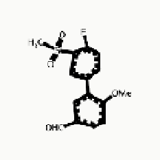 COc1ccc(C=O)cc1-c1ccc(F)c(S(C)(=O)=O)c1